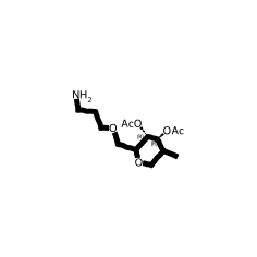 CC(=O)O[C@@H]1C(C)COC(COCCCN)[C@@H]1OC(C)=O